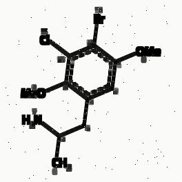 COc1cc(CC(C)N)c(OC)c(Cl)c1Br